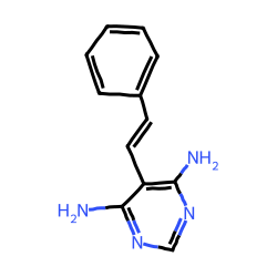 Nc1ncnc(N)c1C=Cc1ccccc1